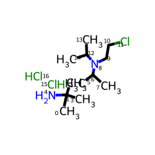 CC(C)(C)N.CC(C)N(CCCl)C(C)C.Cl.Cl